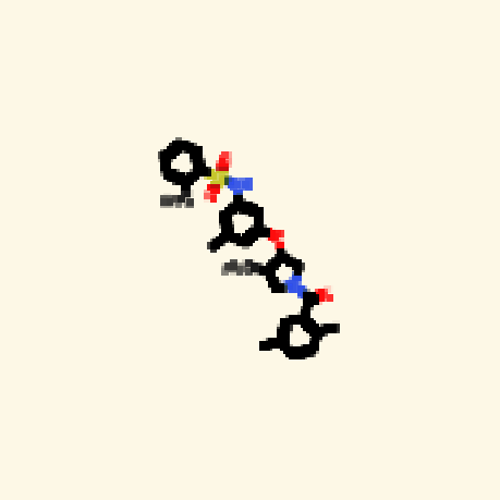 COc1ccccc1S(=O)(=O)Nc1cc(C)cc(OC2CN(C(=O)c3cc(C)ccc3C)CC2OC)c1